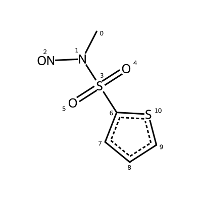 CN(N=O)S(=O)(=O)c1cccs1